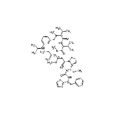 C=C(CC)[C@@H]([C@@H](CC(=O)N1CCC[C@H]1[C@H](OC)[C@@H](C)C(=O)N[C@@H](Cc1ccccc1)c1nccs1)OC)N(C)C(=O)[C@@H](NC(=O)[C@H](C(C)C)N(C)Cc1cccc(NC(C)C)c1)C(C)C